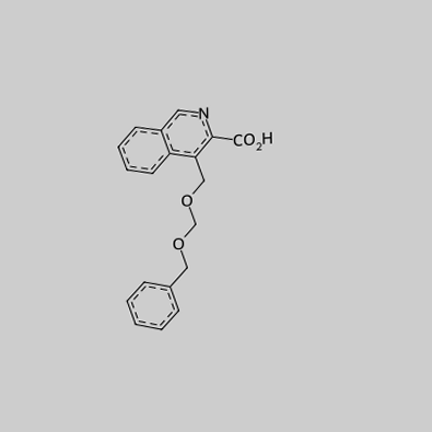 O=C(O)c1ncc2ccccc2c1COCOCc1ccccc1